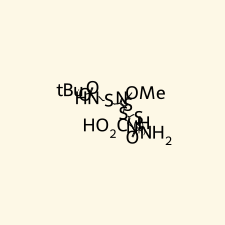 COc1nc(CSCCNC(=O)OC(C)(C)C)c(SC2=C(C(=O)O)N3C(=O)[C@@H](N)[C@@H]3SC2)s1